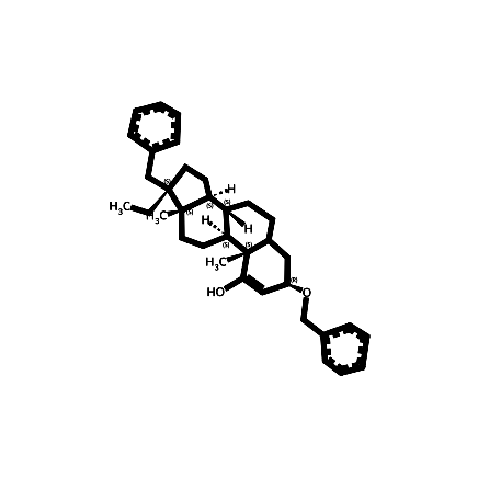 CC[C@@]1(Cc2ccccc2)CC[C@H]2[C@@H]3CCC4C[C@@H](OCc5ccccc5)C=C(O)[C@]4(C)[C@H]3CC[C@@]21C